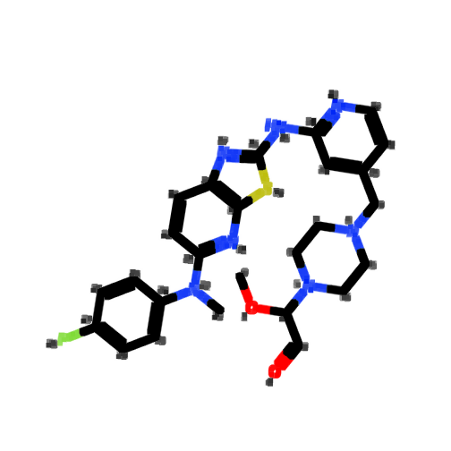 COC(C=O)N1CCN(Cc2ccnc(Nc3nc4ccc(N(C)c5ccc(F)cc5)nc4s3)c2)CC1